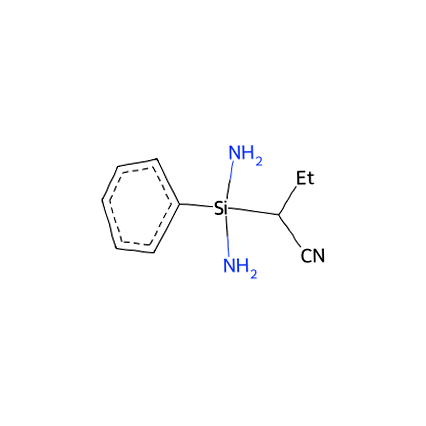 CCC(C#N)[Si](N)(N)c1ccccc1